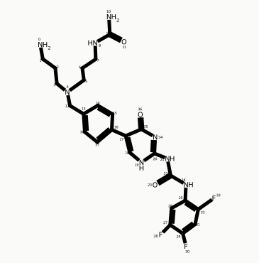 NCCCN(CCCNC(N)=O)Cc1ccc(-c2c[nH]c(NC(=O)Nc3cc(F)c(F)cc3F)nc2=O)cc1